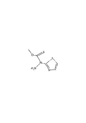 COC(=S)N(N)c1nccs1